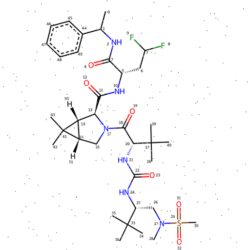 CC(NC(=O)[C@H](CC(F)F)NC(=O)[C@@H]1[C@@H]2[C@H](CN1C(=O)[C@@H](NC(=O)N[C@H](CN(C)S(C)(=O)=O)C(C)(C)C)C(C)(C)C)C2(C)C)c1ccccc1